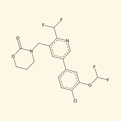 O=C1OCCCN1Cc1cc(-c2ccc(Cl)c(OC(F)F)c2)cnc1C(F)F